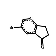 O=C1CCc2ncc(Br)cc21